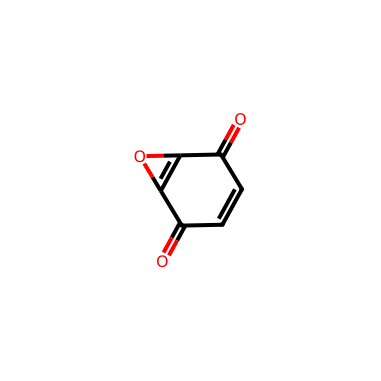 O=c1ccc(=O)c2oc1=2